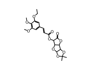 CCOc1cc(/C=C/C(=O)OC2C(=O)OC3C4OC(C)(C)OC4OC23)cc(OC)c1OC